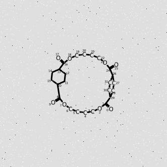 O=C1OCCCCOC(=O)C2CCC(CC2)C(=O)OCCCCOC(=O)C2CCC1CC2